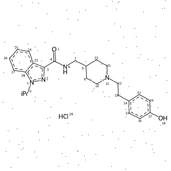 CC(C)n1nc(C(=O)NCC2CCN(CCc3ccc(O)cc3)CC2)c2ccccc21.Cl